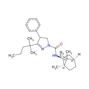 CCCC(C)(C)C1=NN(C(=O)N[C@H]2C[C@H]3CC[C@]2(C)C3(C)C)CC1c1ccccc1